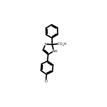 O=C(O)C1(c2ccccc2)NC(c2ccc(Cl)cc2)=CS1